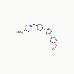 CCOC(=O)C1CCN(Cc2ccc(-c3ncc(-c4ccc(OC(C)C)cc4)s3)cc2)CC1